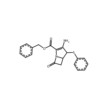 NC1=C(C(=O)OCc2ccccc2)N2C(=O)CC2C1Sc1ccccc1